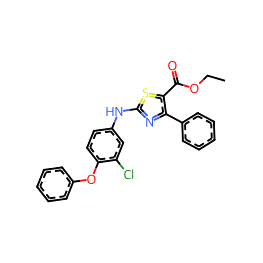 CCOC(=O)c1sc(Nc2ccc(Oc3ccccc3)c(Cl)c2)nc1-c1ccccc1